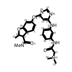 CNC(=O)C1c2ccc(Oc3cc(Nc4cccc(NC(=O)CN(C)C)c4)ncn3)cc2OC1C